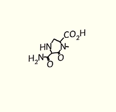 CN1C(=O)C(C(N)=O)NCC1C(=O)O